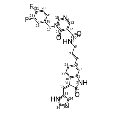 O=C1Nc2cc(/C=C/CNC(=O)c3cncn(Cc4ccc(F)c(F)c4)c3=O)ccc2/C1=C/c1cnc[nH]1